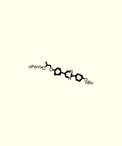 CCCCCOC(C)COc1ccc(-c2cnc(-c3ccc(OCCCC)cc3)nc2)cc1